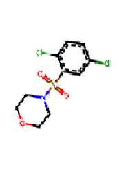 O=S(=O)(c1cc(Cl)ccc1Cl)N1CCOCC1